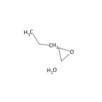 C1CO1.CCC.O